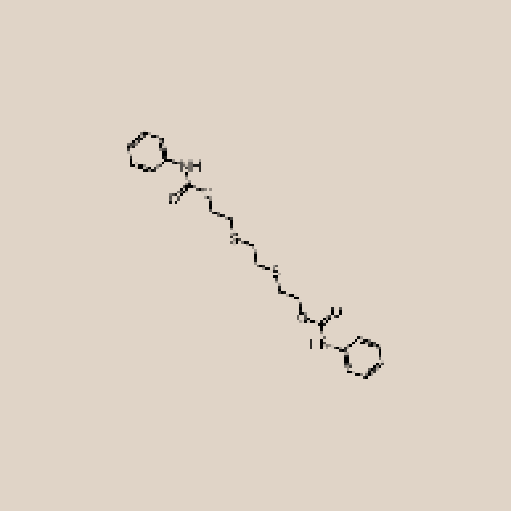 O=C(Nc1ccccc1)OCCSCCSCCOC(=O)Nc1ccccc1